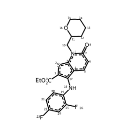 CCOC(=O)c1sc2c(ccc(=O)n2CC2CCCCO2)c1Nc1ccc(F)cc1F